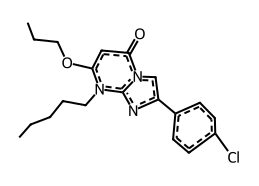 CCCCCn1c(OCCC)cc(=O)n2cc(-c3ccc(Cl)cc3)nc12